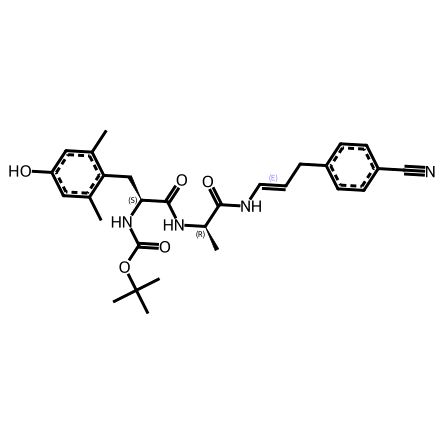 Cc1cc(O)cc(C)c1C[C@H](NC(=O)OC(C)(C)C)C(=O)N[C@H](C)C(=O)N/C=C/Cc1ccc(C#N)cc1